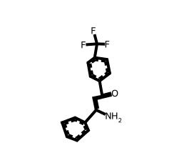 N/C(=C\C(=O)c1ccc(C(F)(F)F)cc1)c1ccccc1